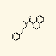 CN(CCCc1ccccc1)C(=O)N1CCCc2ccccc21